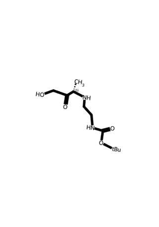 C[C@H](NCCNC(=O)OC(C)(C)C)C(=O)CO